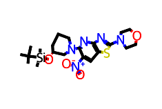 CC(C)(C)[Si](C)(C)O[C@H]1CCCN(c2nc3nc(N4CCOCC4)sc3cc2[N+](=O)[O-])C1